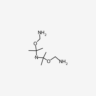 CC(C)([N]C(C)(C)OCN)OCN